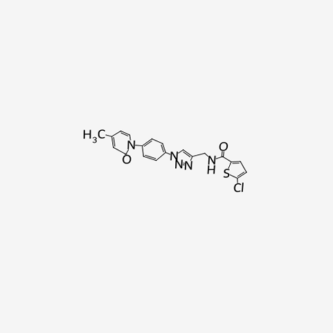 Cc1ccn(-c2ccc(-n3cc(CNC(=O)c4ccc(Cl)s4)nn3)cc2)c(=O)c1